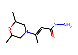 CC(=CC(=O)NN)N1CC(C)OC(C)C1